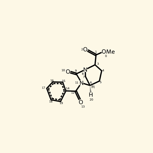 COC(=O)C1CC[C@@H]2CN1C(=O)N2C(=O)c1ccccc1